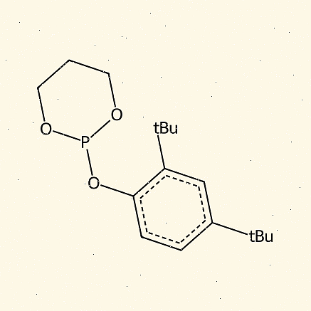 CC(C)(C)c1ccc(OP2OCCCO2)c(C(C)(C)C)c1